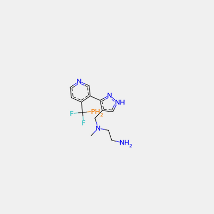 CN(CCN)Cc1c[nH]nc1-c1cnccc1C(F)(F)P